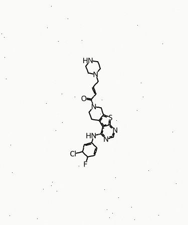 O=C(/C=C/CN1CCNCC1)N1CCc2c(sc3ncnc(NC4=CC(Cl)C(F)C=C4)c23)C1